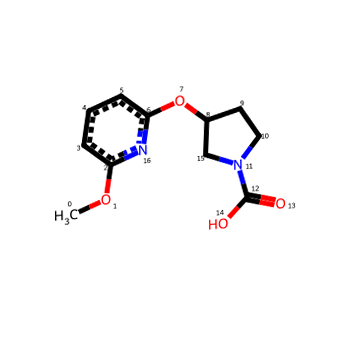 COc1cccc(OC2CCN(C(=O)O)C2)n1